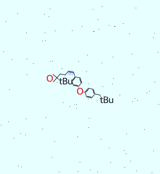 CC(C)(C)Cc1ccc(Oc2ccc(/C=C\CCC3(C(C)(C)C)COC3)cc2)cc1